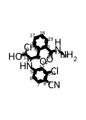 C[C@H](O)[C@@H](Nc1ccc(C#N)c(Cl)c1)C(=O)c1ccccc1C(=O)NN